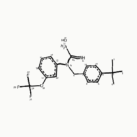 CC(C)(C)c1ccc(CN(C(=N)N)c2cccc(OC(F)(F)F)c2)cc1.Cl